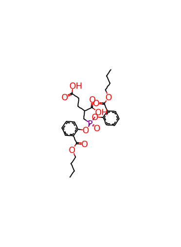 CCCCOC(=O)c1ccccc1OP(=O)(CC(CCC(=O)O)C(=O)O)Oc1ccccc1C(=O)OCCCC